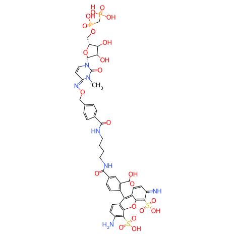 Cn1c(=O)n([C@@H]2O[C@H](COP(=O)(O)CP(=O)(O)O)C(O)C2O)cc/c1=N/OCc1ccc(C(=O)NCCCCNC(=O)c2ccc(-c3c4ccc(=N)c(S(=O)(=O)O)c-4oc4c(S(=O)(=O)O)c(N)ccc34)c(C(=O)O)c2)cc1